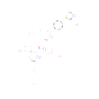 CCCCOC(=O)N[C@H](C(=O)N1C[C@H](O)C[C@H]1C(=O)N[C@@H](C)c1ccc(-c2scnc2C)cc1)C(C)(C)C.Cl